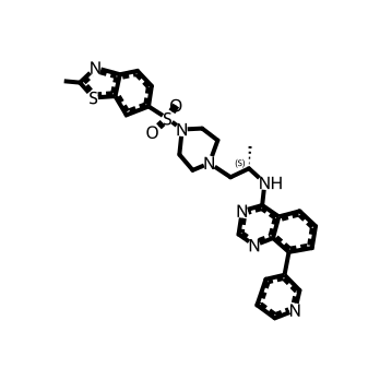 Cc1nc2ccc(S(=O)(=O)N3CCN(C[C@H](C)Nc4ncnc5c(-c6cccnc6)cccc45)CC3)cc2s1